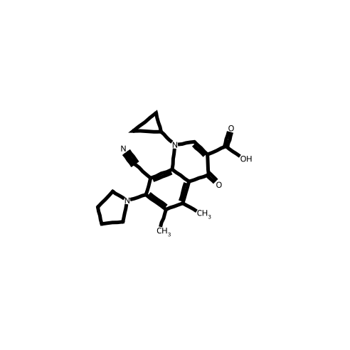 Cc1c(N2CCCC2)c(C#N)c2c(c1C)c(=O)c(C(=O)O)cn2C1CC1